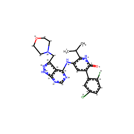 CC(C)c1[nH]c(=O)c(-c2cc(Cl)ccc2F)cc1Nc1ncnc2[nH]nc(CN3CCOCC3)c12